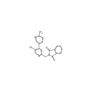 O=C1c2ccccc2C(=O)N1Cc1cc(-c2ccc(C(F)(F)F)nc2)c(Cl)cn1